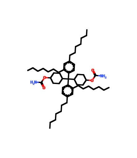 CCCCCCCc1ccc(C(c2ccc(CCCCCCC)cc2CCCCCCC)(C2CCC(OC(N)=O)CC2)C2CCC(OC(N)=O)CC2)c(CCCCCCC)c1